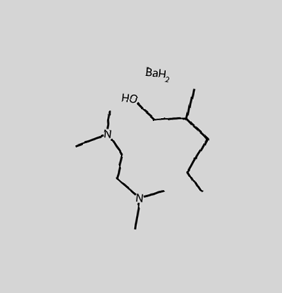 CCCC(C)CO.CN(C)CCN(C)C.[BaH2]